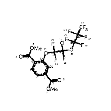 COC(=O)c1ccc(C(=O)OC)c(OC(F)(F)C(F)(Cl)OC(F)(F)C(F)(F)C(F)(F)F)c1